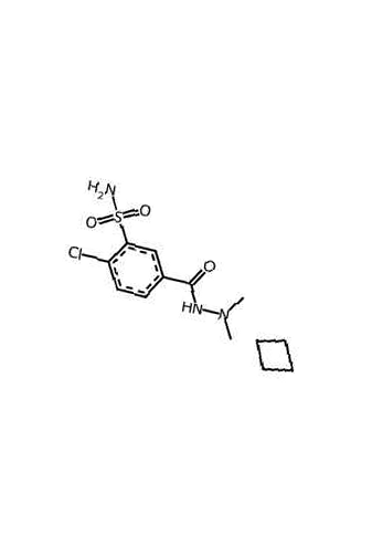 C1CCC1.CN(C)NC(=O)c1ccc(Cl)c(S(N)(=O)=O)c1